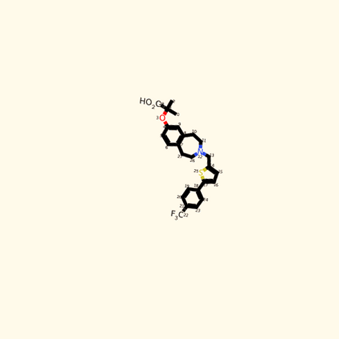 CC(C)(Oc1ccc2c(c1)CCN(Cc1ccc(-c3ccc(C(F)(F)F)cc3)s1)CC2)C(=O)O